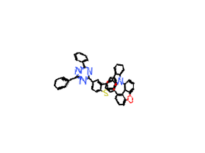 c1ccc(-c2nc(-c3ccccc3)nc(-c3ccc4sc5c(-c6cccc7oc8cccc(-n9c%10ccccc%10c%10ccccc%109)c8c67)cccc5c4c3)n2)cc1